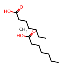 C.CCCCCCC(=O)O.CCCCCCC(=O)O